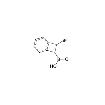 CC(C)C1c2ccccc2C1B(O)O